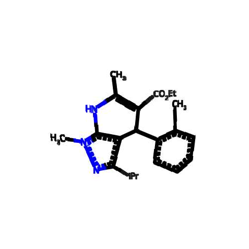 CCOC(=O)C1=C(C)Nc2c(c(C(C)C)nn2C)C1c1ccccc1C